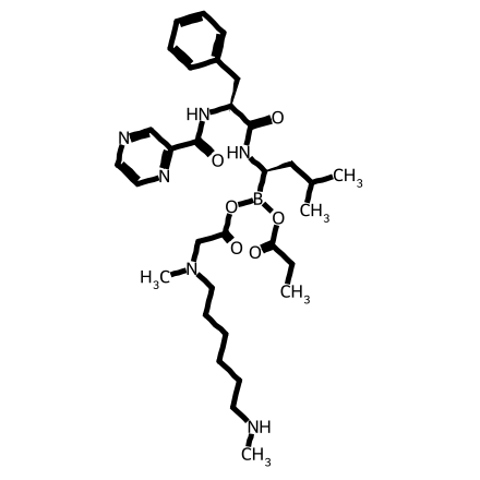 CCC(=O)OB(OC(=O)CN(C)CCCCCCNC)[C@H](CC(C)C)NC(=O)[C@H](Cc1ccccc1)NC(=O)c1cnccn1